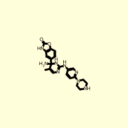 CC1=CN=C(Nc2ccc(N3CCNCC3)nc2)NC1(N)c1ccc2oc(=O)[nH]c2c1